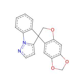 c1ccc2c(c1)-n1nccc1C21COc2cc3c(cc21)OCO3